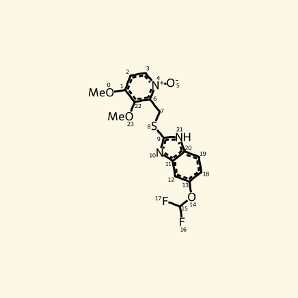 COc1cc[n+]([O-])c(CSc2nc3cc(OC(F)F)ccc3[nH]2)c1OC